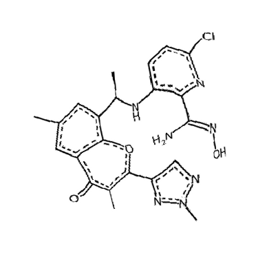 Cc1cc([C@@H](C)Nc2ccc(Cl)nc2/C(N)=N/O)c2oc(-c3cnn(C)n3)c(C)c(=O)c2c1